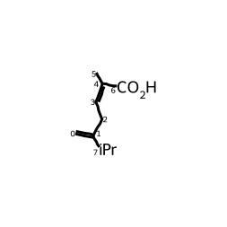 C=C(C/C=C(/C)C(=O)O)C(C)C